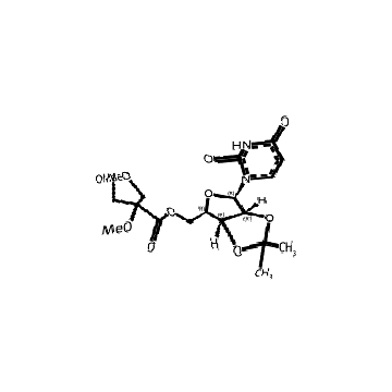 COCC(COC)(OC)C(=O)OC[C@H]1O[C@@H](n2ccc(=O)[nH]c2=O)[C@@H]2OC(C)(C)O[C@@H]21